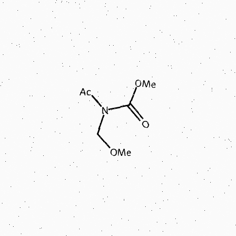 COCN(C(C)=O)C(=O)OC